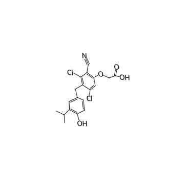 CC(C)c1cc(Cc2c(Cl)cc(OCC(=O)O)c(C#N)c2Cl)ccc1O